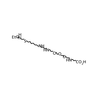 CCOCNCCSCCCCCCCCNCCCCNCCCOCCOCCOCCCNCCCC(=O)O